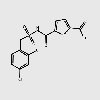 O=C(NS(=O)(=O)Cc1ccc(Cl)cc1Cl)c1ccc(C(=O)C(F)(F)F)s1